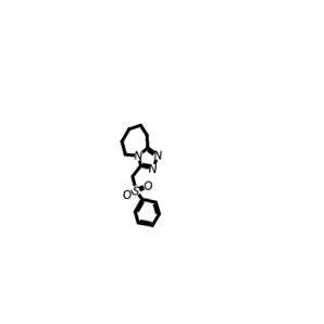 O=S(=O)(Cc1nnc2n1CCCCC2)c1ccccc1